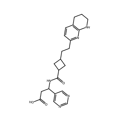 O=C(O)CC(NC(=O)C1CC(CCc2ccc3c(n2)NCCC3)C1)c1cncnc1